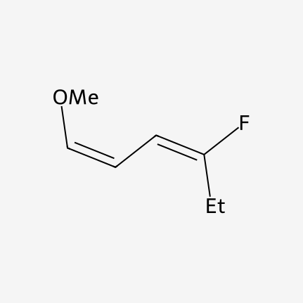 CC/C(F)=C\C=C/OC